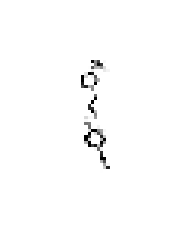 N#Cc1ccc(ON=CC[C@@H]2CC[C@H](N)C2)nc1